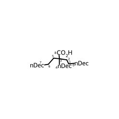 CCCCCCCCCCCCC(CCCCCCCCCC)(CCCCCCCCCCCC)C(=O)O